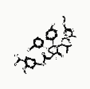 CCOC(=O)N=S(=O)(C[C@H](C(C)C)N1C(=O)[C@@](C)(CC(=O)Nc2ccc(C(=O)O)c(OC)c2)C[C@H](c2cccc(Cl)c2)[C@H]1c1ccc(Cl)cc1)C(C)C